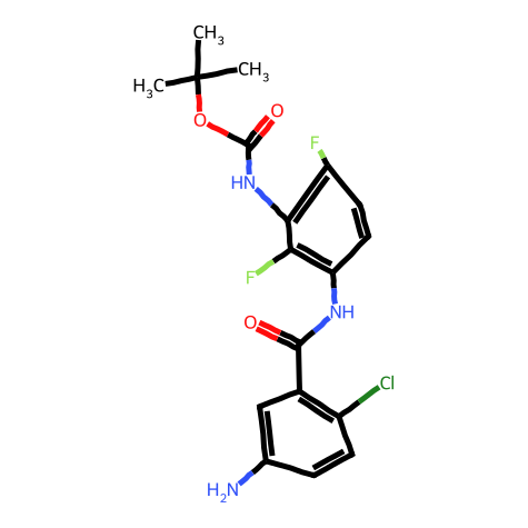 CC(C)(C)OC(=O)Nc1c(F)ccc(NC(=O)c2cc(N)ccc2Cl)c1F